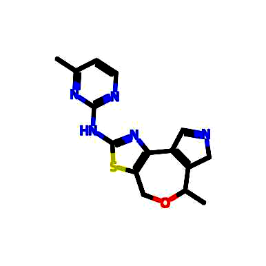 Cc1ccnc(Nc2nc3c(s2)COC(C)C2=C3C=NC2)n1